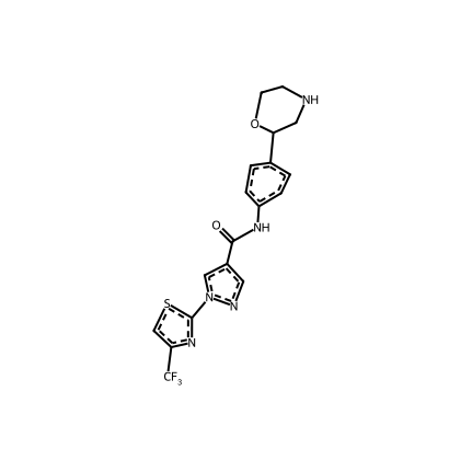 O=C(Nc1ccc(C2CNCCO2)cc1)c1cnn(-c2nc(C(F)(F)F)cs2)c1